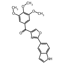 COc1cc(C(=O)c2coc(-c3ccc4[nH]ccc4c3)n2)cc(OC)c1OC